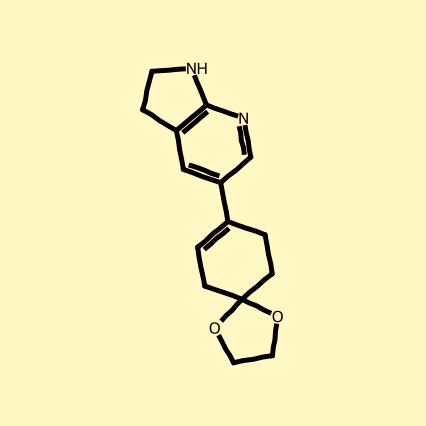 C1=C(c2cnc3c(c2)CCN3)CCC2(C1)OCCO2